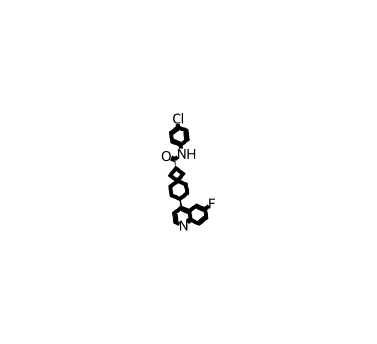 O=C(Nc1ccc(Cl)cc1)[C@H]1CC2(CC[C@H](c3ccnc4ccc(F)cc43)CC2)C1